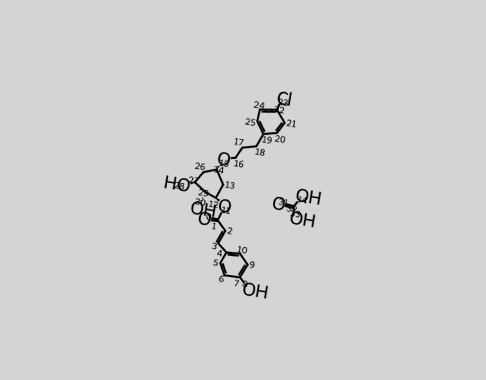 O=C(/C=C/c1ccc(O)cc1)O[C@@H]1C[C@@H](OCCCc2ccc(Cl)cc2)C[C@H](O)[C@H]1O.O=C(O)O